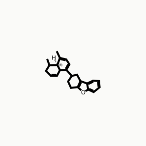 CC1=CC=C(C2CCc3oc4ccccc4c3C2)C2C=CCC(C)[C@@H]12